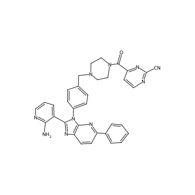 N#Cc1nccc(C(=O)N2CCN(Cc3ccc(-n4c(-c5cccnc5N)nc5ccc(-c6ccccc6)nc54)cc3)CC2)n1